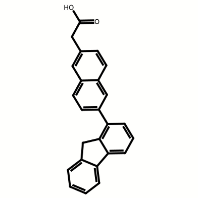 O=C(O)Cc1ccc2cc(-c3cccc4c3Cc3ccccc3-4)ccc2c1